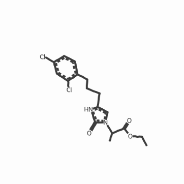 CCOC(=O)C(C)n1cc(CCCc2ccc(Cl)cc2Cl)[nH]c1=O